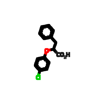 O=C(O)C(Cc1ccccc1)Oc1ccc(Cl)cc1